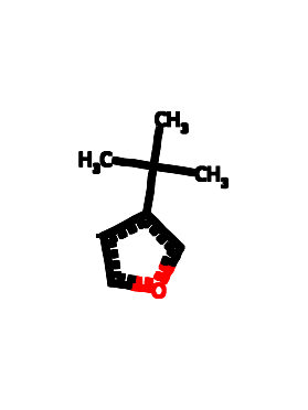 CC(C)(C)c1[c]coc1